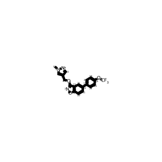 Cn1cc(COc2noc3ccc(-c4ccc(OC(F)(F)F)cc4)cc23)cn1